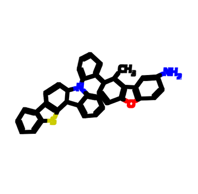 CC1c2c(oc3ccc(N)cc23)C=CC1c1ccccc1N1c2ccccc2C2c3sc4ccccc4c3C=CC21